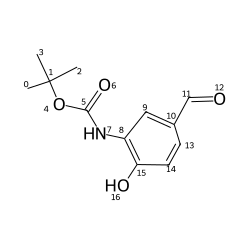 CC(C)(C)OC(=O)Nc1cc(C=O)ccc1O